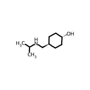 CC(C)NC[C@H]1CC[C@H](O)CC1